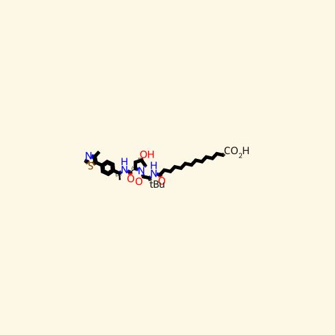 Cc1ncsc1-c1ccc([C@H](C)NC(=O)[C@@H]2C[C@@H](O)CN2C(=O)C(NC(=O)CCCCCCCCCCCCC(=O)O)C(C)(C)C)cc1